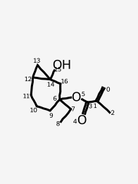 C=C(C)C(=O)OC1(CC)CCCC2CC2(O)C1